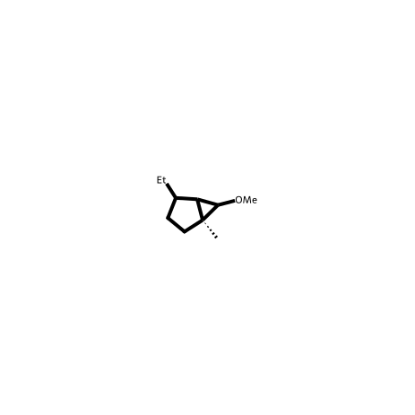 CCC1CC[C@]2(C)C(OC)C12